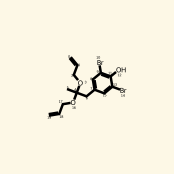 C=CCOC(C)(Cc1cc(Br)c(O)c(Br)c1)OCC=C